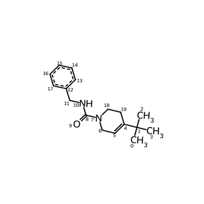 CC(C)(C)C1=CCN(C(=O)NCc2ccccc2)CC1